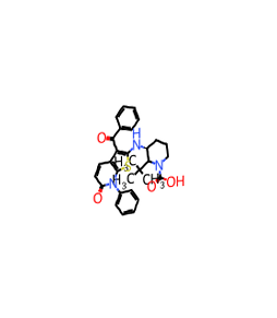 CC(C)(C)C1[C@@H](Nc2sc3c(ccc(=O)n3-c3ccccc3)c2C(=O)c2ccccc2)CCCN1C(=O)O